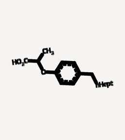 CCCCCCCCc1ccc(OC(C)C(=O)O)cc1